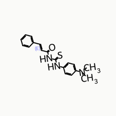 CN(C)c1ccc(NC(=S)NC(=O)/C=C/c2ccccc2)cc1